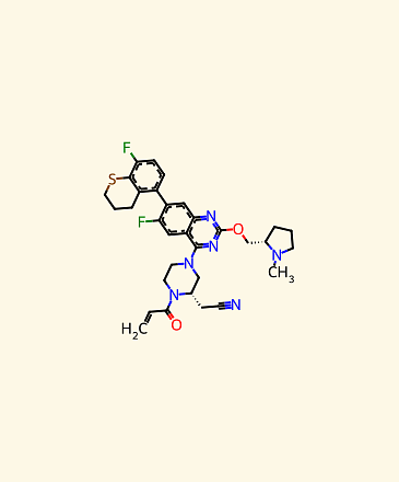 C=CC(=O)N1CCN(c2nc(OC[C@@H]3CCCN3C)nc3cc(-c4ccc(F)c5c4CCCS5)c(F)cc23)C[C@@H]1CC#N